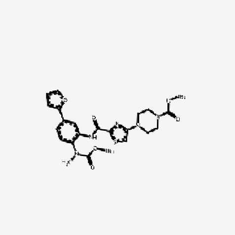 CN(C(=O)OC(C)(C)C)c1ccc(-c2ccco2)cc1NC(=O)c1nc(N2CCN(C(=O)OC(C)(C)C)CC2)cs1